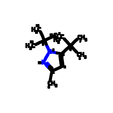 Cc1cc(C(C)(C)C)n(C(C)(C)C)n1